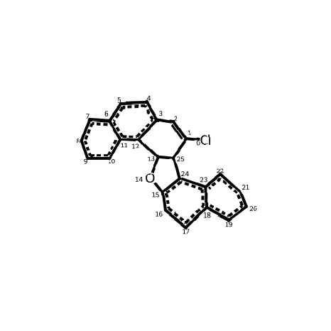 ClC1=Cc2ccc3ccccc3c2C2Oc3ccc4ccccc4c3C12